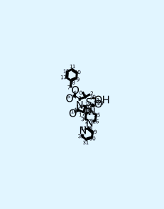 CC1(C)[C@H](C(=O)OCc2ccccc2)N2C(=O)C[C@H]2[S@@]1(CO)C(=O)N1CCN(c2ccccn2)CC1